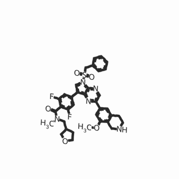 COc1cc(-c2cnc3c(n2)c(-c2cc(F)c(C(=O)N(C)CC4CCOC4)c(F)c2)cn3S(=O)(=O)Cc2ccccc2)cc2c1CNCC2